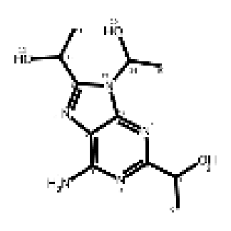 CC(O)c1nc(N)c2nc(C(C)O)n(C(C)O)c2n1